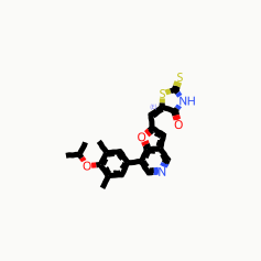 Cc1cc(-c2cncc3cc(/C=C4/SC(=S)NC4=O)oc23)cc(C)c1OC(C)C